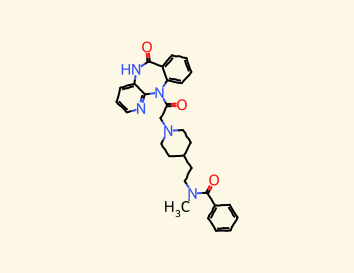 CN(CCC1CCN(CC(=O)N2c3ccccc3C(=O)Nc3cccnc32)CC1)C(=O)c1ccccc1